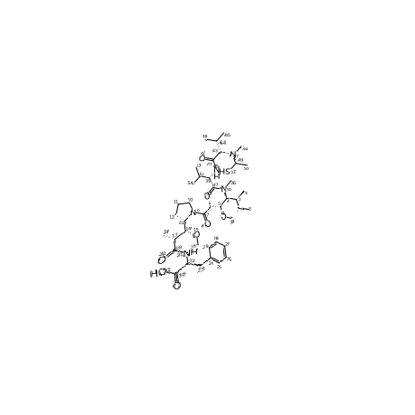 CC[C@H](C)[C@@H]([C@@H](CC(=O)N1CCC[C@H]1[C@H](OC)[C@@H](C)C(=O)N[C@@H](Cc1ccccc1)C(=O)O)OC)N(C)C(=O)[C@@H](NC(=O)[C@H](C(C)C)N(C)C(C)S)C(C)C